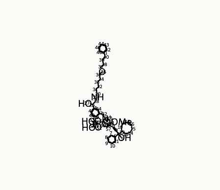 CO[C@]1(C#CC(O)(c2ccccc2)C2CCCCCCC2)C[N+]2(Cc3cc(C(O)CNCCCCCCOCCCCc4ccccc4)ccc3OP(=O)(O)O)CCC1CC2